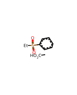 CC(=O)O.CCS(=O)(=O)c1ccccc1